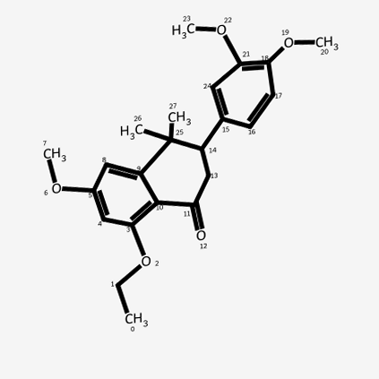 CCOc1cc(OC)cc2c1C(=O)CC(c1ccc(OC)c(OC)c1)C2(C)C